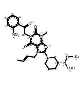 C/C=C/Cn1c(N2CCC[C@@H](N(C=O)OC(C)(C)C)C2)nc2c1c(=O)n(CC(=O)c1ccccc1[N+](=O)[O-])c(=O)n2C